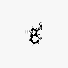 O=Nc1c[nH]c2cccnc12